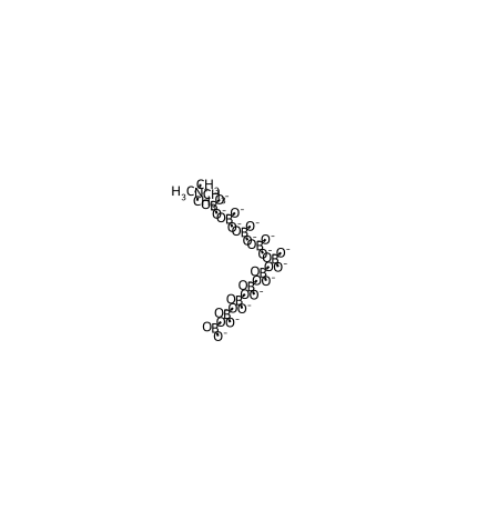 C[N+](C)(C)C.[O-]B([O-])[O-].[O-]B([O-])[O-].[O-]B([O-])[O-].[O-]B([O-])[O-].[O-]B([O-])[O-].[O-]B([O-])[O-].[O-]B([O-])[O-].[O-]B([O-])[O-].[O-]B([O-])[O-].[O-]B([O-])[O-]